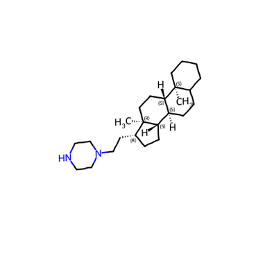 C[C@]12CC[C@H]3[C@@H](CCC4CCCC[C@@]43C)[C@@H]1CC[C@@H]2CCN1CCNCC1